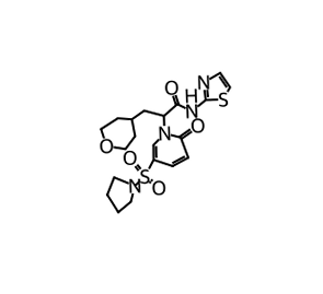 O=C(Nc1nccs1)C(CC1CCOCC1)n1cc(S(=O)(=O)N2CCCC2)ccc1=O